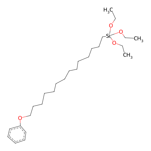 CCO[Si](CCCCCCCCCCCCCCOc1ccccc1)(OCC)OCC